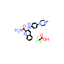 CN1CCN(c2ccc(Nc3cc4ccccc4nc3C(N)=O)cc2)CC1.O=C(O)C(F)(F)F